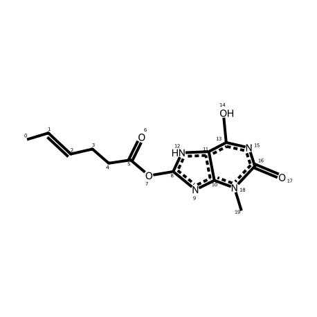 CC=CCCC(=O)Oc1nc2c([nH]1)c(O)nc(=O)n2C